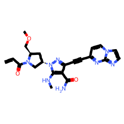 C=CC(=O)N1C[C@@H](n2nc(C#Cc3ccn4ccnc4n3)c(C(N)=O)c2NC)C[C@@H]1COC